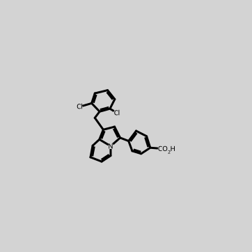 O=C(O)c1ccc(-c2cc(Cc3c(Cl)cccc3Cl)c3ccccn23)cc1